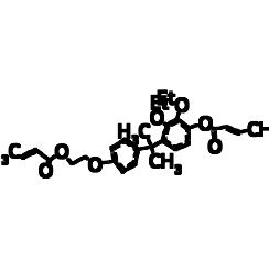 CC=CC(=O)OCCOc1ccc(C(C)(C)c2ccc(OC(=O)C=CC)c(OCC)c2OCC)cc1